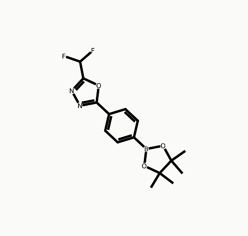 CC1(C)OB(c2ccc(-c3nnc(C(F)F)o3)cc2)OC1(C)C